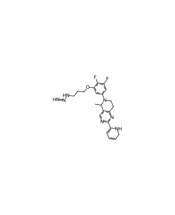 CC1c2cnc(C3=CC=CCN3)nc2CCN1c1cc(F)c(F)c(OCCCNN=N)c1